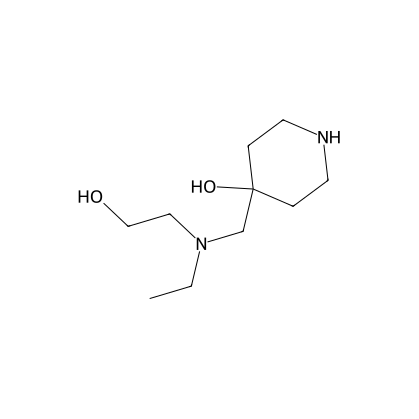 CCN(CCO)CC1(O)CCNCC1